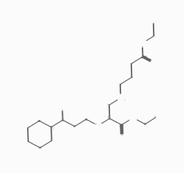 CCOC(=O)CCCSCC(NCCC(O)C1CCCCC1)C(=O)OCC